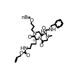 C=CCOC(=O)NCCC[C@H]1C(=O)N(CCCOCCCC)C[C@H]2N1C(=O)CN(C)N2C(=O)NCc1ccccc1